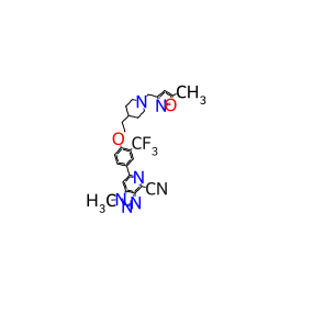 Cc1cc(CN2CCC(CCOc3ccc(-c4cc5c(nnn5C)c(C#N)n4)cc3C(F)(F)F)CC2)no1